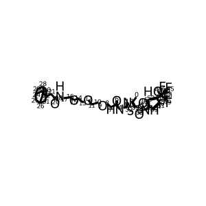 Cc1nc(NC(=O)CCOCCOCCOCCNC(=O)CC23CC4CC(CC(C4)C2)C3)sc1S(=O)(=O)Nc1ccc(C(O)(C(F)(F)F)C(F)(F)F)cc1